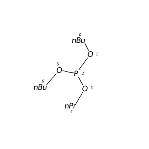 CCCCOP(OCCC)OCCCC